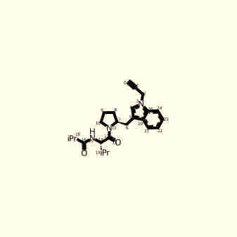 C#CCn1cc(C[C@@H]2CCCN2C(=O)[C@@H](NC(=O)C(C)C)C(C)C)c2ccccc21